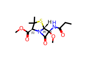 CCC(=O)N[C@@]1(OC)C(=O)N2[C@@H](C(=O)OC)C(C)(C)S[C@@H]21